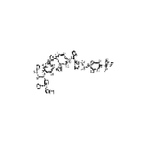 O=C(O)OC1CCOc2cc(Oc3ccc(C(=O)NCCc4ccc(C(F)(F)F)cc4)cc3)c(Cl)cc21